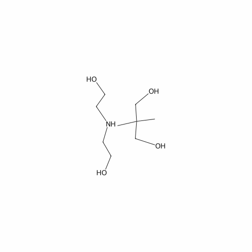 CC(C)(CO)CO.OCCNCCO